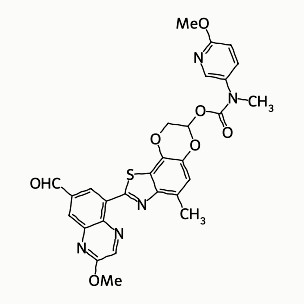 COc1ccc(N(C)C(=O)OC2COc3c(cc(C)c4nc(-c5cc(C=O)cc6nc(OC)cnc56)sc34)O2)cn1